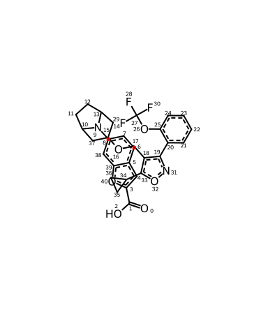 O=C(O)c1cc2ccc(N3C4CCC3CC(OCc3c(-c5ccccc5OC(F)(F)F)noc3C3CC3)C4)cc2o1